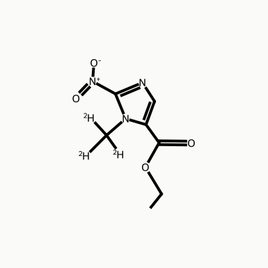 [2H]C([2H])([2H])n1c(C(=O)OCC)cnc1[N+](=O)[O-]